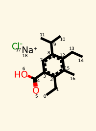 CCc1c(C(=O)O)cc(C(C)C)c(CC)c1C.[Cl-].[Na+]